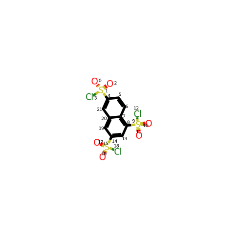 O=S(=O)(Cl)c1ccc2c(S(=O)(=O)Cl)cc(S(=O)(=O)Cl)cc2c1